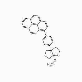 CO[C@]12CCC[C@@]1(c1ccc(-c3ccc4ccc5cccc6ccc3c4c56)cc1)CCO2